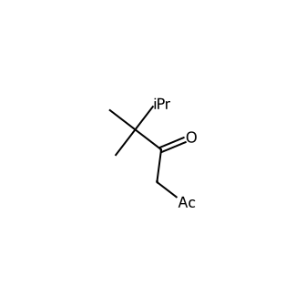 CC(=O)CC(=O)C(C)(C)C(C)C